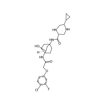 O=C(COc1ccc(Cl)c(F)c1)NC12CCC(NC(=O)C3CNC(C4CC4)CN3)(CC1)C[C@@H]2O